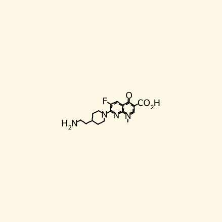 Cn1cc(C(=O)O)c(=O)c2cc(F)c(N3CCC(CCN)CC3)nc21